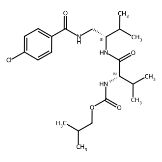 CC(C)COC(=O)N[C@H](C(=O)N[C@H](CNC(=O)c1ccc(Cl)cc1)C(C)C)C(C)C